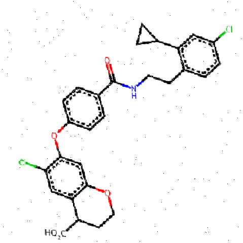 O=C(NCCc1ccc(Cl)cc1C1CC1)c1ccc(Oc2cc3c(cc2Cl)C(C(=O)O)CCO3)cc1